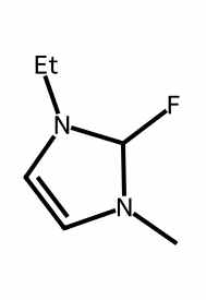 CCN1C=CN(C)C1F